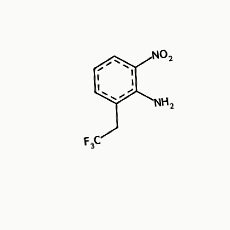 Nc1c(CC(F)(F)F)cccc1[N+](=O)[O-]